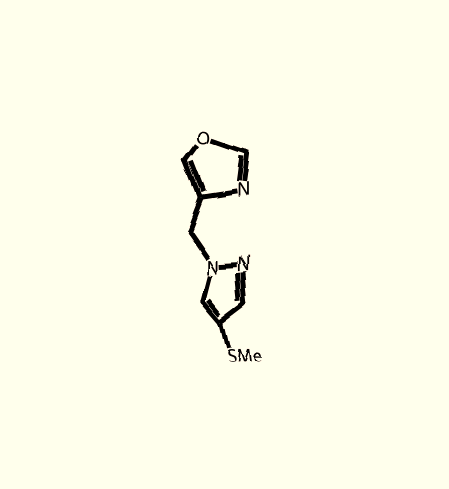 CSc1cnn(Cc2cocn2)c1